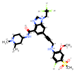 COc1cc(S(C)(=O)=O)c(F)cc1NCC#Cc1cc(C(=O)NC2CCN(C)C(C)C2)c2ncn(CC(F)(F)F)c2c1